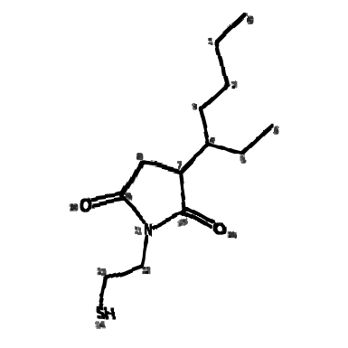 CCCCC(CC)C1CC(=O)N(CCS)C1=O